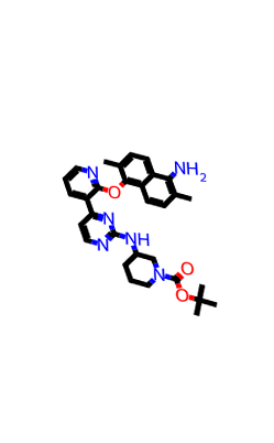 Cc1ccc2c(Oc3ncccc3-c3ccnc(NC4CCCN(C(=O)OC(C)(C)C)C4)n3)c(C)ccc2c1N